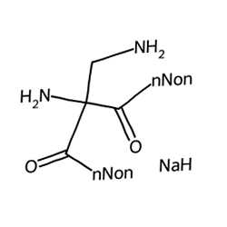 CCCCCCCCCC(=O)C(N)(CN)C(=O)CCCCCCCCC.[NaH]